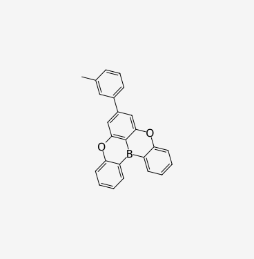 Cc1cccc(-c2cc3c4c(c2)Oc2ccccc2B4c2ccccc2O3)c1